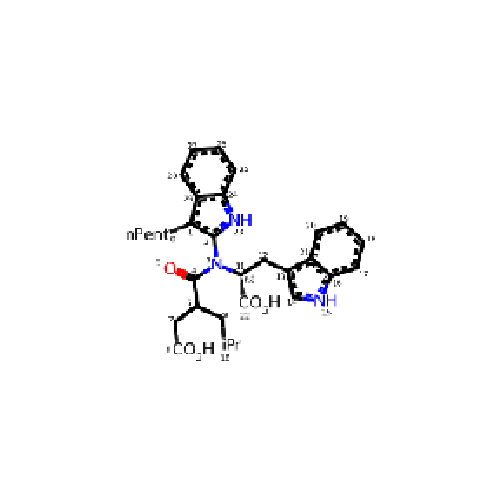 CCCCCc1c(N(C(=O)C(CC(=O)O)CC(C)C)[C@@H](Cc2c[nH]c3ccccc23)C(=O)O)[nH]c2ccccc12